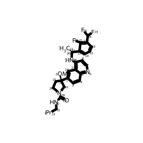 CO[C@]1(c2ccc3nccc(N[C@H](C)c4cccc(C(F)F)c4F)c3c2)CCN(C(=O)NCC(C)C)C1